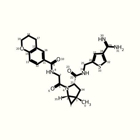 C[C@@]12C[C@@H]1N(C(=O)CNC(=O)c1ccc3c(c1)CCCO3)[C@H](C(=O)NCc1cc(C(=N)N)cs1)C2